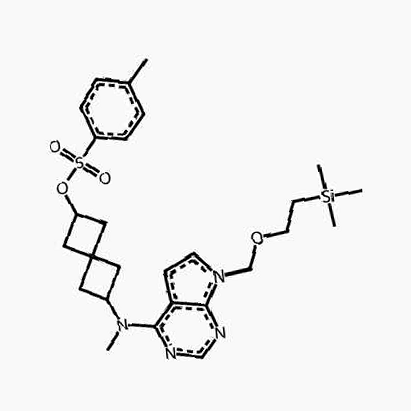 Cc1ccc(S(=O)(=O)OC2CC3(C2)CC(N(C)c2ncnc4c2ccn4COCC[Si](C)(C)C)C3)cc1